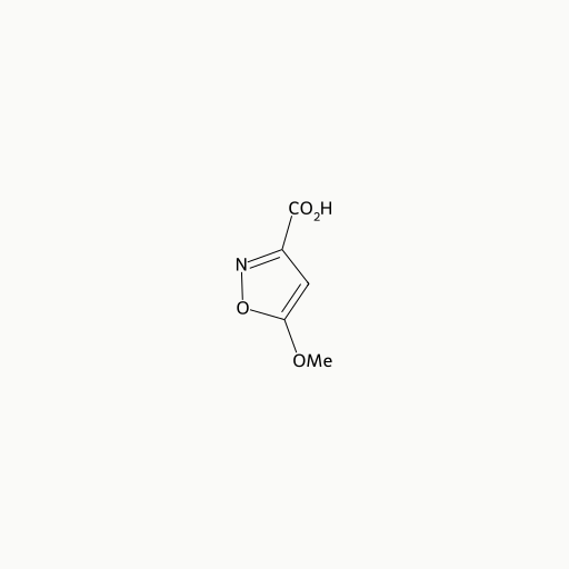 COc1cc(C(=O)O)no1